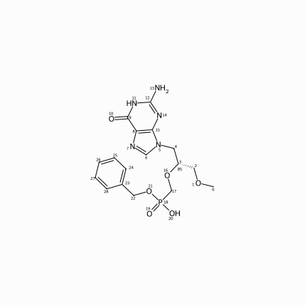 COC[C@@H](Cn1cnc2c(=O)[nH]c(N)nc21)OCP(=O)(O)OCc1ccccc1